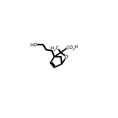 CC1(C(=O)O)OC2C=CC1(CCCO)C2